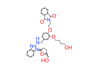 O=C1c2ccccc2C(=O)N1CCOc1ccc(CNc2nc3ccccc3n2[C@H]2CC[C@@H](CO)O2)cc1OCCCCO